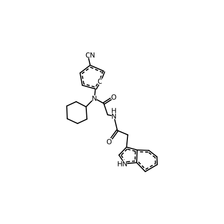 N#Cc1ccc(N(C(=O)CNC(=O)Cc2c[nH]c3ccccc23)C2CCCCC2)cc1